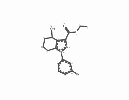 CCOC(=O)c1nn(-c2cccc(Br)c2)c2c1C(O)CCC2